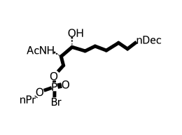 CCCCCCCCCCCCCCC[C@@H](O)[C@H](COP(=O)(Br)OCCC)NC(C)=O